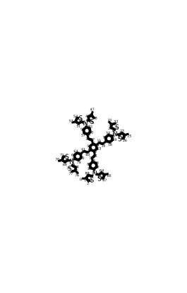 Cc1csc(N(c2ccc(C=Cc3cc(C=Cc4ccc(N(c5cc(C)cs5)c5cc(C)cs5)cc4)c(C=Cc4ccc(N(c5cc(C)cs5)c5cc(C)cs5)cc4)cc3C=Cc3ccc(N(c4cc(C)cs4)c4cc(C)cs4)cc3)cc2)c2cc(C)cs2)c1